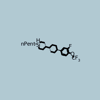 CCCCC[Si@H]1CC[C@H]([C@H]2CC[C@H](c3ccc(OC(F)(F)F)c(F)c3)CC2)CC1